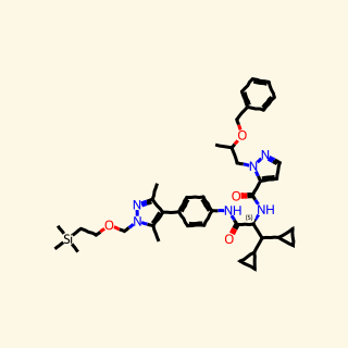 Cc1nn(COCC[Si](C)(C)C)c(C)c1-c1ccc(NC(=O)[C@@H](NC(=O)c2ccnn2CC(C)OCc2ccccc2)C(C2CC2)C2CC2)cc1